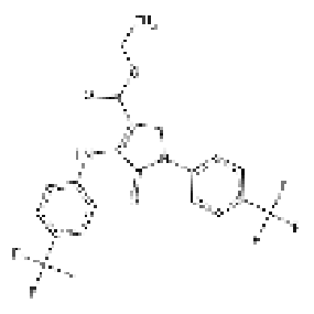 CCOC(=O)C1=C(Nc2ccc(C(F)(F)F)cc2)C(=O)N(c2ccc(C(F)(F)F)cc2)C1